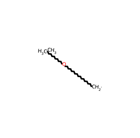 [CH2]CCCCCCCCCCCCCCCCCOCCCCCCCCCC(C)C